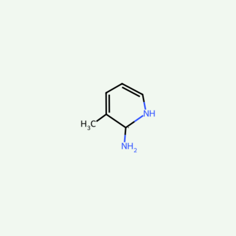 CC1=CC=CN[C]1N